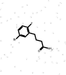 NC(=O)CCCc1cc(Br)ccc1F